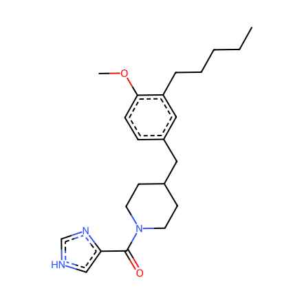 CCCCCc1cc(CC2CCN(C(=O)c3c[nH]cn3)CC2)ccc1OC